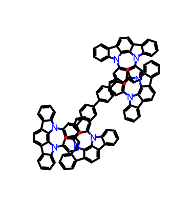 c1ccc(-n2c3ccccc3c3ccc4c5ccccc5n(-c5cc(-c6ccc(-c7ccc(-c8cc(-n9c%10ccccc%10c%10ccc%11c%12ccccc%12n(-c%12ccccc%12)c%11c%109)cc(-n9c%10ccccc%10c%10ccc%11c%12ccccc%12n(-c%12ccccc%12)c%11c%109)c8)cc7)cc6)cc(-n6c7ccccc7c7ccc8c9ccccc9n(-c9ccccc9)c8c76)c5)c4c32)cc1